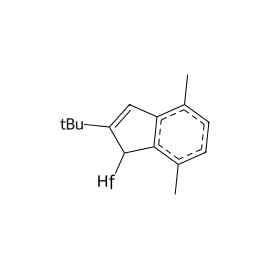 Cc1ccc(C)c2c1C=C(C(C)(C)C)[CH]2[Hf]